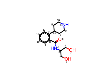 O=C(NC(CO)CO)c1ccccc1C1CCNCC1